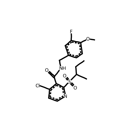 CCC(C)S(=O)(=O)c1nccc(Cl)c1C(=O)NCc1ccc(OC)c(F)c1